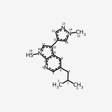 CC(C)Cc1cnc2c(c1)c(-c1cnn(C)c1)cn2S